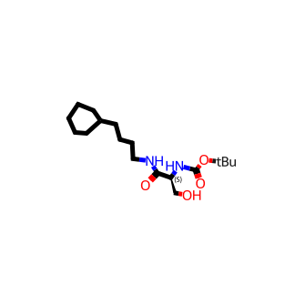 CC(C)(C)OC(=O)N[C@@H](CO)C(=O)NCCCCC1CCCCC1